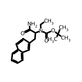 CCN(C(=O)OC(C)(C)C)C(Cc1ccc2ccccc2c1)C(N)=O